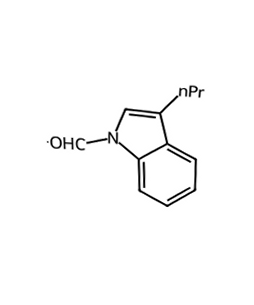 CCCc1cn([C]=O)c2ccccc12